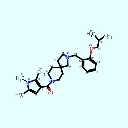 Cc1cc(C(=O)N2CCC3(CCN(Cc4ccccc4OCC(C)C)C3)CC2)c(C)n1C